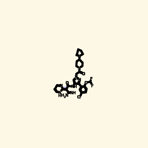 N=C(N)/C(C(=O)Nc1cn(CC(=O)N2CCC(N3CCCC3)CC2)nc1-c1cc(Cl)ccc1OC(F)F)=C1/N=CC=CN1